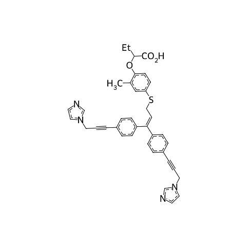 CCC(Oc1ccc(SCC=C(c2ccc(C#CCn3ccnc3)cc2)c2ccc(C#CCn3ccnc3)cc2)cc1C)C(=O)O